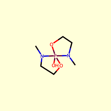 CN1CCOP12(O)OCCN2C